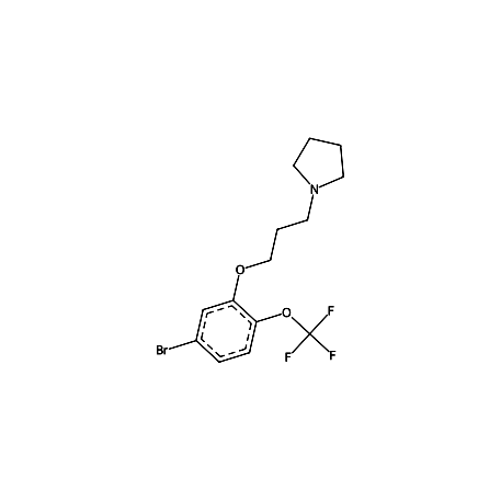 FC(F)(F)Oc1ccc(Br)cc1OCCCN1CCCC1